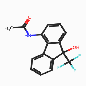 CC(=O)Nc1cccc2c1-c1ccccc1C2(O)C(F)(F)F